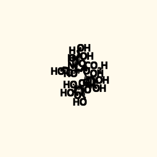 O=C(CO)N[C@H]1[C@H]([C@H](O)[C@H](O)CO)O[C@@](OC[C@H]2O[C@@H](O[C@H]3[C@H](O)[C@@H](O)C(O)O[C@@H]3CO)[C@H](O)[C@@H](O)[C@H]2O)(C(=O)O)C[C@@H]1O